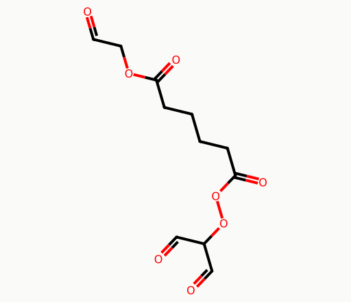 O=CCOC(=O)CCCCC(=O)OOC(C=O)C=O